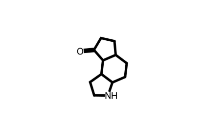 O=C1CCC2CCC3NCCC3C12